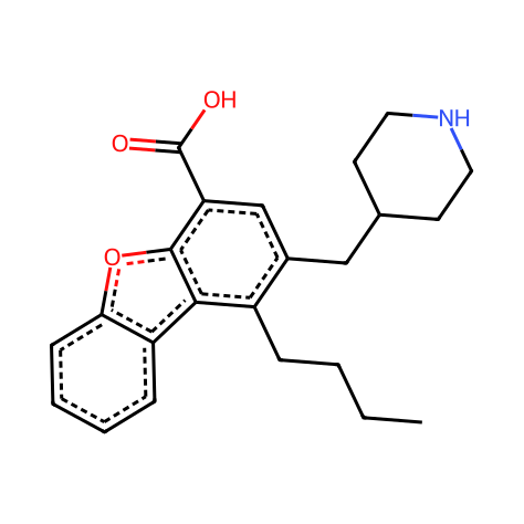 CCCCc1c(CC2CCNCC2)cc(C(=O)O)c2oc3ccccc3c12